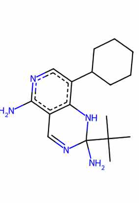 CC(C)(C)C1(N)N=Cc2c(N)ncc(C3CCCCC3)c2N1